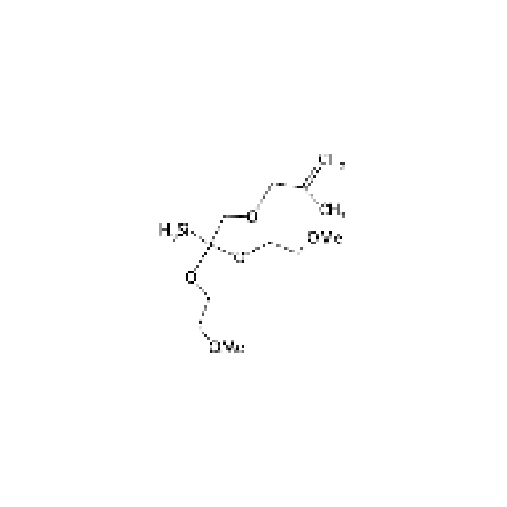 C=C(C)COCC([SiH3])(OCCOC)OCCOC